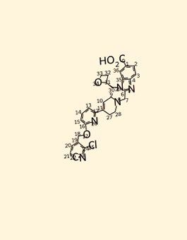 O=C(O)c1ccc2nc(CN3CC=C(c4cccc(OCc5cccnc5Cl)n4)CC3)n(C[C@@H]3CCO3)c2c1